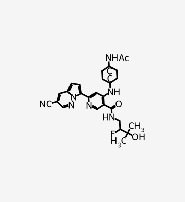 CC(=O)NC12CCC(Nc3cc(-c4ccc5cc(C#N)cnn45)ncc3C(=O)NCC(F)C(C)(C)O)(CC1)CC2